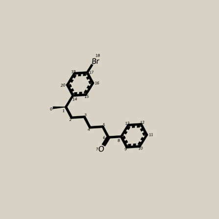 C[C@H](CCCCC(=O)c1ccccc1)c1ccc(Br)cc1